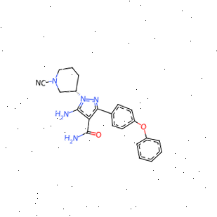 N#CN1CCC[C@H](n2nc(-c3ccc(Oc4ccccc4)cc3)c(C(N)=O)c2N)C1